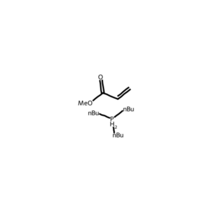 C=CC(=O)OC.CCCC[PH2](CCCC)CCCC